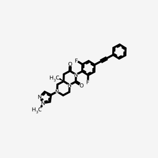 Cn1cc(N2CCN3C(=O)N(c4c(F)cc(C#Cc5ccccc5)cc4F)C(=O)C[C@@]3(C)C2)cn1